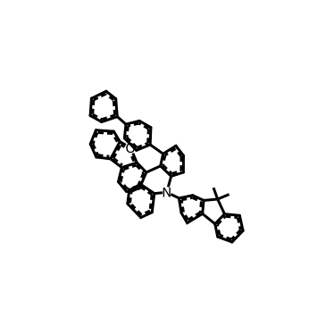 CC1(C)c2ccccc2-c2ccc(N(c3ccccc3)c3cccc(-c4ccc(-c5ccccc5)cc4)c3-c3cccc4c3oc3ccccc34)cc21